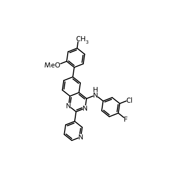 COc1cc(C)ccc1-c1ccc2nc(-c3cccnc3)nc(Nc3ccc(F)c(Cl)c3)c2c1